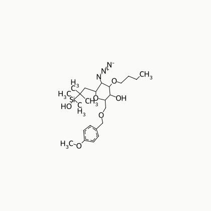 CCCCOC1C(O)C(COCc2ccc(OC)cc2)OC(CC(C)(C)[Si](C)(C)O)C1N=[N+]=[N-]